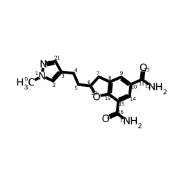 Cn1cc(CCC2Cc3cc(C(N)=O)cc(C(N)=O)c3O2)cn1